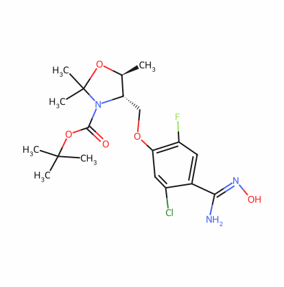 C[C@@H]1OC(C)(C)N(C(=O)OC(C)(C)C)[C@H]1COc1cc(Cl)c(/C(N)=N/O)cc1F